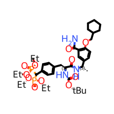 CCOP(=O)(OCC)C(c1ccc(C[C@H](NC(=O)OC(C)(C)C)C(=O)N[C@@H](C)c2ccc(OCC3CCCCC3)c(C(N)=O)c2)cc1)P(=O)(OCC)OCC